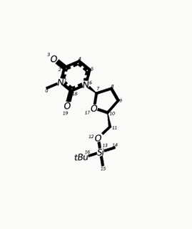 Cn1c(=O)ccn([C@H]2CC[C@@H](CO[Si](C)(C)C(C)(C)C)O2)c1=O